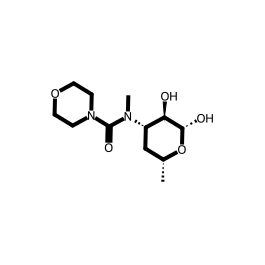 C[C@@H]1C[C@H](N(C)C(=O)N2CCOCC2)[C@@H](O)[C@H](O)O1